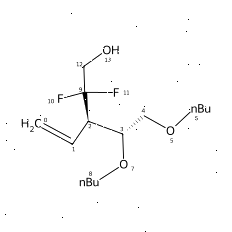 C=C[C@H]([C@H](COCCCC)OCCCC)C(F)(F)CO